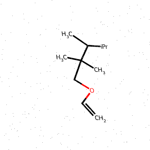 C=COCC(C)(C)C(C)C(C)C